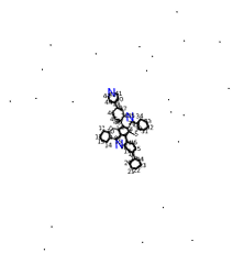 Cc1c2c(c(C)c3c1c(-c1ccccc1)nc1cc(-c4ccccc4)ccc13)C(c1ccccc1)=NC1C=C(c3ccncc3)C=CC21C